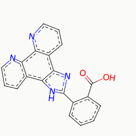 O=C(O)c1ccccc1-c1nc2c3cccnc3c3ncccc3c2[nH]1